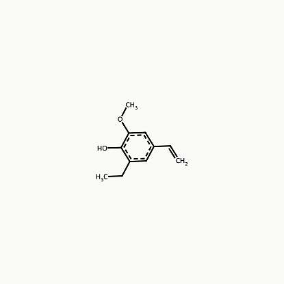 C=Cc1cc(CC)c(O)c(OC)c1